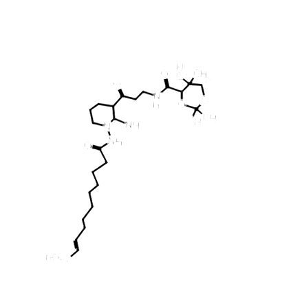 CCCCCCCCC=CCCCCCCCC(=O)NN1CCCC(C(=O)CCNC(=O)C2OC(C)(C)OCC2(C)C)C1N